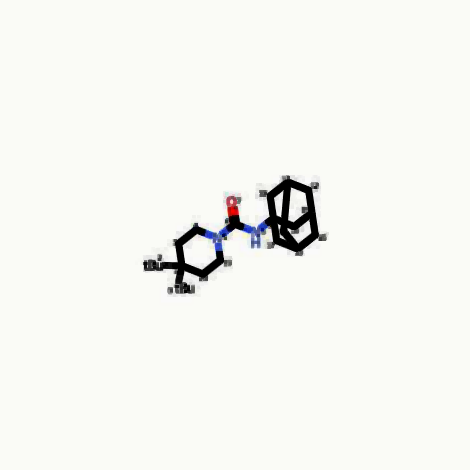 CC(C)(C)C1(C(C)(C)C)CCN(C(=O)NC23CC4CC(CC(C4)C2)C3)CC1